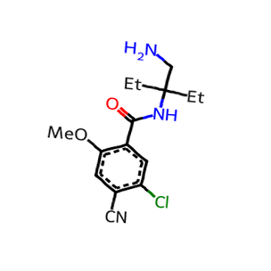 CCC(CC)(CN)NC(=O)c1cc(Cl)c(C#N)cc1OC